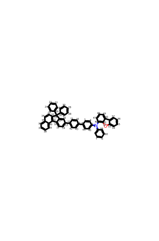 c1ccc(N(c2ccc(-c3ccc(-c4ccc5c(c4)C(c4ccccc4)(c4ccccc4)c4ccc6ccccc6c4-5)cc3)cc2)c2cccc3c2oc2ccccc23)cc1